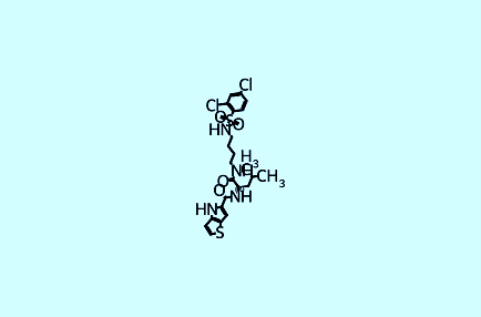 CC(C)C[C@@H](NC(=O)c1cc2sccc2[nH]1)C(=O)NCCCCNS(=O)(=O)c1ccc(Cl)cc1Cl